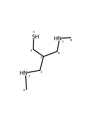 CNCC(CS)CNC